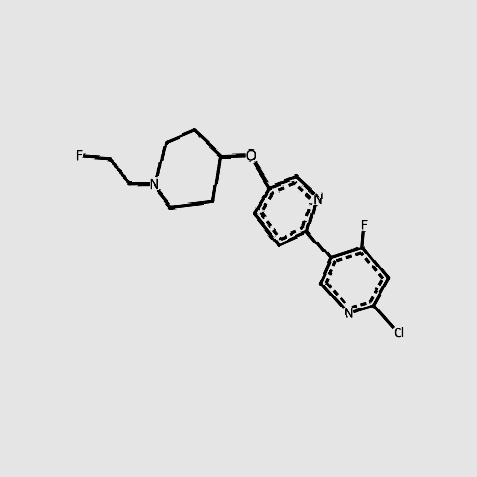 FCCN1CCC(Oc2ccc(-c3cnc(Cl)cc3F)nc2)CC1